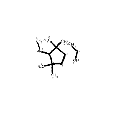 CCO.CNC1C(C)(C)CCC1(C)C